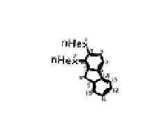 CCCCCCc1ccc2c(c1CCCCCC)Cc1ccccc1-2